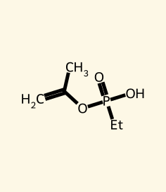 C=C(C)OP(=O)(O)CC